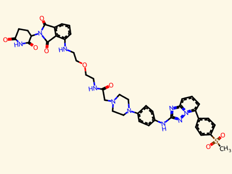 CS(=O)(=O)c1ccc(-c2cccc3nc(Nc4ccc(N5CCN(CC(=O)NCCOCCNc6cccc7c6C(=O)N(C6CCC(=O)NC6=O)C7=O)CC5)cc4)nn23)cc1